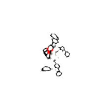 c1ccc(C2N=C(c3ccc4c5ccccc5n(-c5ccccc5)c4c3)N=C(c3c(-n4c5cc6ccccc6cc5c5cc6ccccc6cc54)ccc4c3oc3ccccc34)N2)cc1